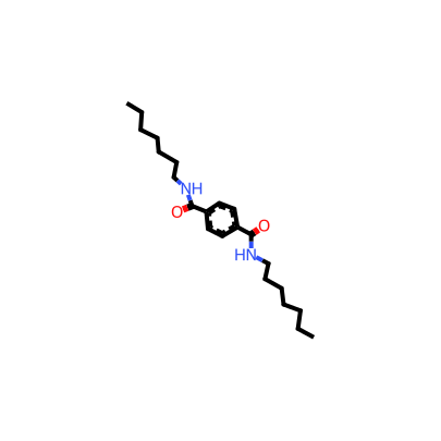 CCCCCCCNC(=O)c1ccc(C(=O)NCCCCCCC)cc1